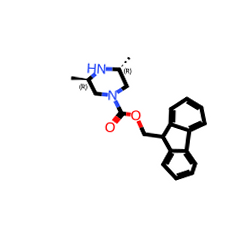 C[C@@H]1CN(C(=O)OCC2c3ccccc3-c3ccccc32)C[C@@H](C)N1